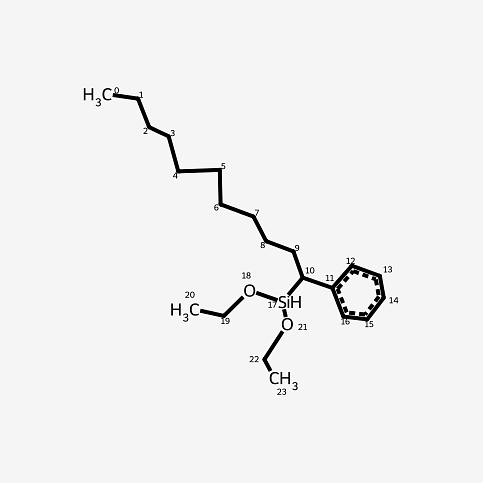 CCCCCCCCCCC(c1ccccc1)[SiH](OCC)OCC